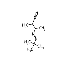 CC(C#N)C(C)N=NC(C)(C)C